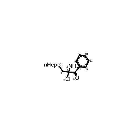 CCCCCCCCC(N)(Cl)C(=O)c1ccccc1